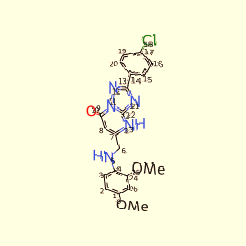 COc1ccc(NCc2cc(=O)n3nc(-c4ccc(Cl)cc4)nc3[nH]2)c(OC)c1